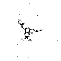 COC(=O)C[C@@H]1O[C@H](CN=[N+]=[N-])[C@H]2OC(C)(C)O[C@H]21